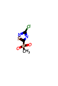 CS(=O)(=O)c1nc(Cl)ns1